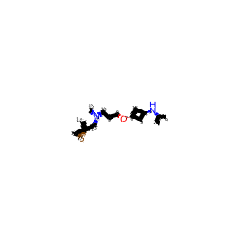 CC(C)N[C@H]1C[C@H](OCCCN(C)CC2(C)CS2)C1